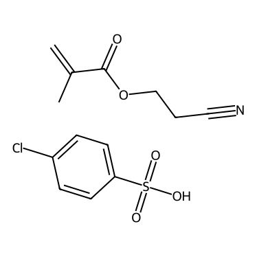 C=C(C)C(=O)OCCC#N.O=S(=O)(O)c1ccc(Cl)cc1